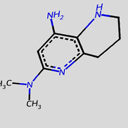 CN(C)c1cc(N)c2c(n1)CCCN2